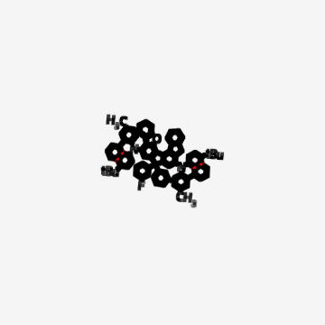 Cc1ccc(N(c2ccc(C(C)(C)C)cc2)c2cc3c(c4c2Cc2ccccc2-4)-c2c(cc(N(c4ccc(C(C)(C)C)cc4)c4ccc(C)cc4-c4ccccc4)c4c2oc2ccccc24)C3(c2cccc(F)c2)c2cccc(F)c2)c(-c2ccccc2)c1